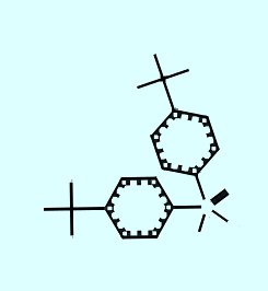 CC(C)(C)c1ccc(S(=O)(O)(O)c2ccc(C(C)(C)C)cc2)cc1